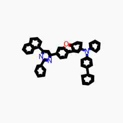 c1ccc(-c2ccc(N(c3ccccc3)c3ccc4oc5cc(-c6cc(-c7cccc8ccccc78)nc(-c7ccccc7)n6)ccc5c4c3)cc2)cc1